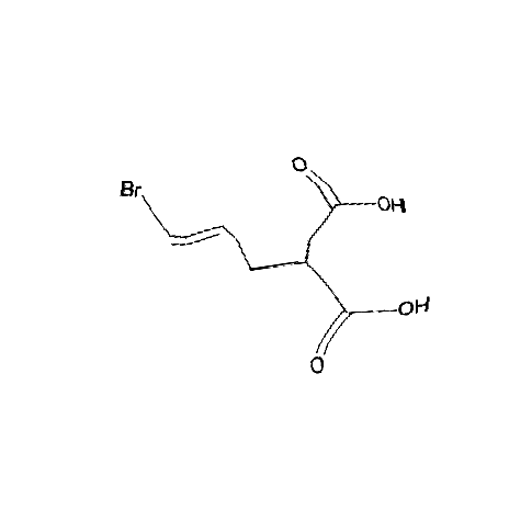 O=C(O)C(CC=CBr)C(=O)O